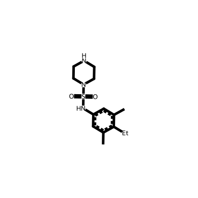 CCc1c(C)cc(NS(=O)(=O)N2CCNCC2)cc1C